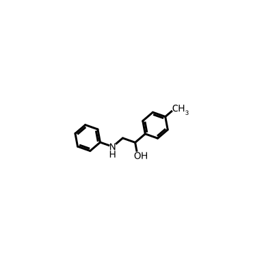 Cc1ccc(C(O)CNc2ccccc2)cc1